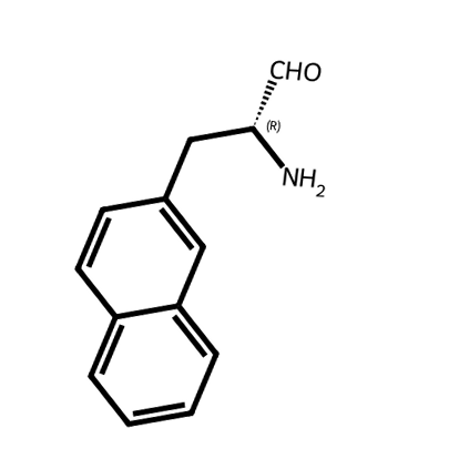 N[C@@H](C=O)Cc1ccc2ccccc2c1